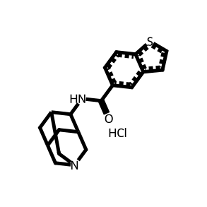 Cl.O=C(NC1C2CC3CC1CN(C3)C2)c1ccc2sccc2c1